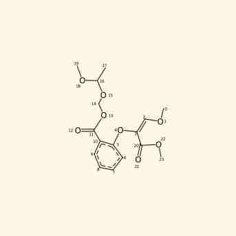 COC=C(Oc1ccccc1C(=O)OCOC(C)OC)C(=O)OC